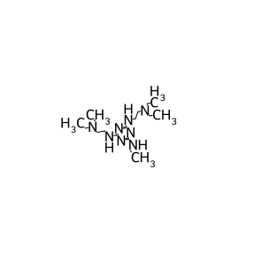 CCNc1nc(NCCN(CC)CC)nc(NCCN(CC)CC)n1